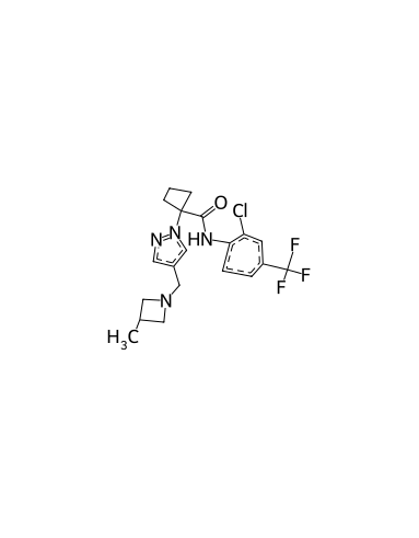 CC1CN(Cc2cnn(C3(C(=O)Nc4ccc(C(F)(F)F)cc4Cl)CCC3)c2)C1